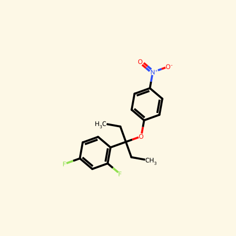 CCC(CC)(Oc1ccc([N+](=O)[O-])cc1)c1ccc(F)cc1F